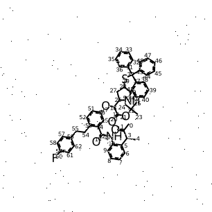 CC(=O)[C@@H](C)c1ccccc1NC(=O)c1cc(OC(C(=O)OC(C)(C)C)C2CC(SC(c3ccccc3)(c3ccccc3)c3ccccc3)CN2)ccc1CCc1ccc(F)cc1